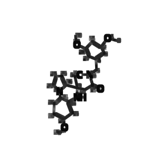 COc1cc(CN2CCC3(CC2=O)Nc2cc(OC)ccc2-n2cccc23)cc(OC)c1